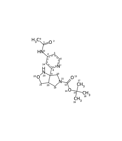 CC(=O)Nc1ccnc(C23CN(C(=O)OC(C)(C)C)CC2CON3)c1